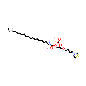 CCCCCCCCCCCCCCCCCCNC(=O)OCC(COCCCC[n+]1ccsc1F)OC(=O)OC.[I-]